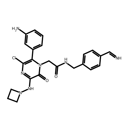 N=Cc1ccc(CNC(=O)Cn2c(-c3cccc(N)c3)c(Cl)nc(NN3CCC3)c2=O)cc1